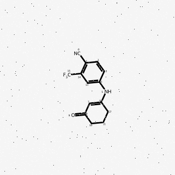 N#Cc1ccc(NC2=CC(=O)CCC2)cc1C(F)(F)F